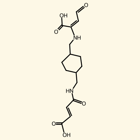 O=CC=C(NCC1CCC(CNC(=O)C=CC(=O)O)CC1)C(=O)O